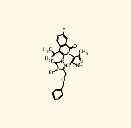 C=C(C)c1c(-n2nc(COCc3ccccc3)n(CC)c2=O)n(-c2c(C)n[nH]c2Cl)c(=O)c2cc(F)ccc12